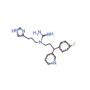 N=C(N)N(CCCc1c[nH]cn1)CCC(c1ccc(F)cc1)c1cccnc1